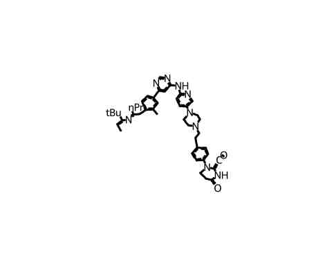 C/C=C(\N=C(/CCC)Cc1ccc(-c2cc(Nc3ccc(N4CCN(CCc5ccc(N6CCC(=O)NC6=C=O)cc5)CC4)cn3)ncn2)cc1C)C(C)(C)C